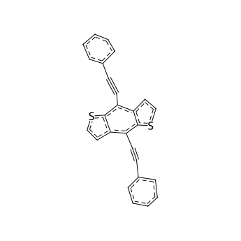 C(#Cc1c2ccsc2c(C#Cc2ccccc2)c2ccsc12)c1ccccc1